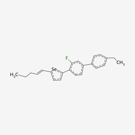 CCC/C=C/c1ccc(-c2ccc(-c3ccc(CC)cc3)cc2F)[se]1